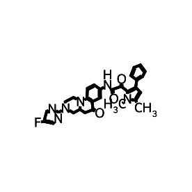 Cc1cc(-c2ccccc2)c(C(=O)C(=O)Nc2ccc3c(c2)C(=O)CC2CN(c4ncc(F)cn4)CCN32)n1C